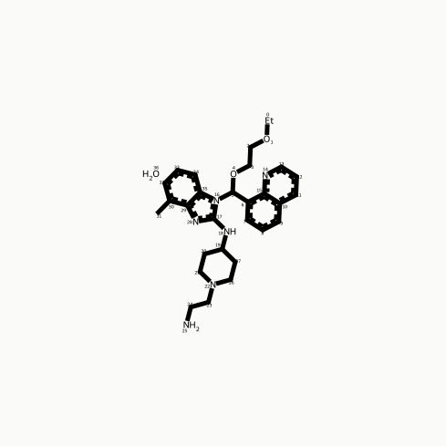 CCOCCOC(c1cccc2cccnc12)n1c(NC2CCN(CCN)CC2)nc2c(C)cccc21.O